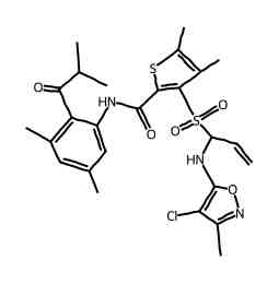 C=CC(Nc1onc(C)c1Cl)S(=O)(=O)c1c(C(=O)Nc2cc(C)cc(C)c2C(=O)C(C)C)sc(C)c1C